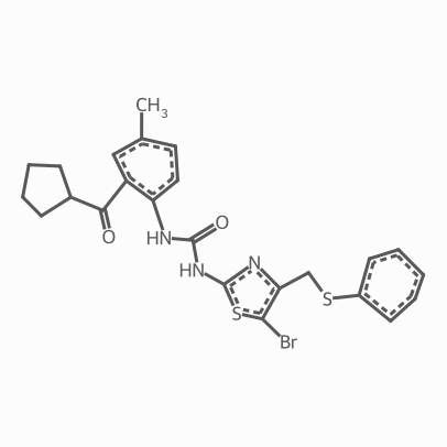 Cc1ccc(NC(=O)Nc2nc(CSc3ccccc3)c(Br)s2)c(C(=O)C2CCCC2)c1